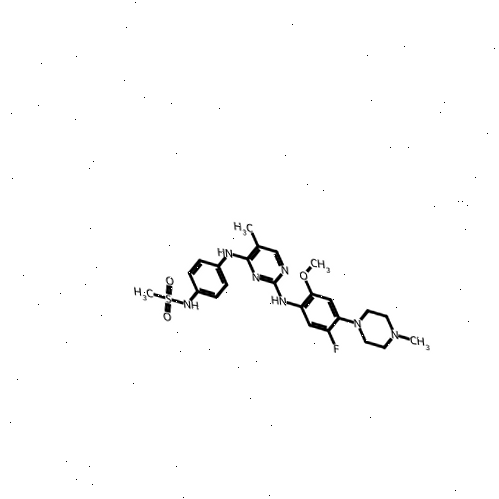 COc1cc(N2CCN(C)CC2)c(F)cc1Nc1ncc(C)c(Nc2ccc(NS(C)(=O)=O)cc2)n1